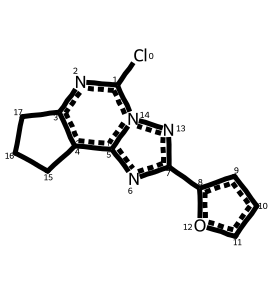 Clc1nc2c(c3nc(-c4ccco4)nn13)CCC2